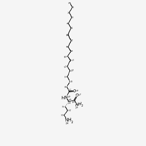 CCCCCCCCCCCCCCCCCC(=O)N[C@@H](CCCN)C(N)=O